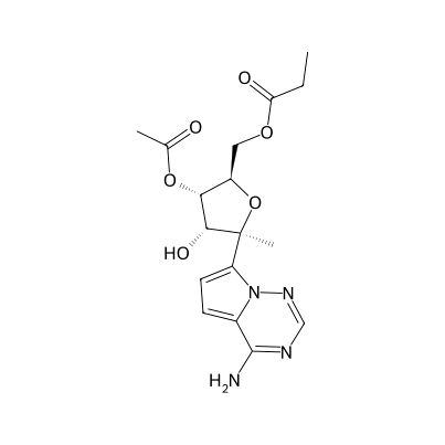 CCC(=O)OC[C@H]1O[C@@](C)(c2ccc3c(N)ncnn23)[C@H](O)[C@@H]1OC(C)=O